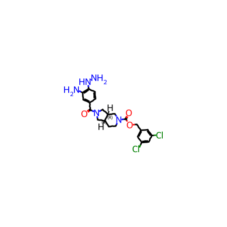 NNc1ccc(C(=O)N2C[C@H]3CCN(C(=O)OCc4cc(Cl)cc(Cl)c4)C[C@H]3C2)cc1N